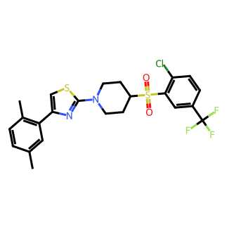 Cc1ccc(C)c(-c2csc(N3CCC(S(=O)(=O)c4cc(C(F)(F)F)ccc4Cl)CC3)n2)c1